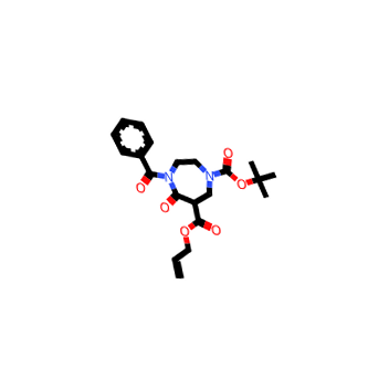 C=CCOC(=O)C1CN(C(=O)OC(C)(C)C)CCN(C(=O)c2ccccc2)C1=O